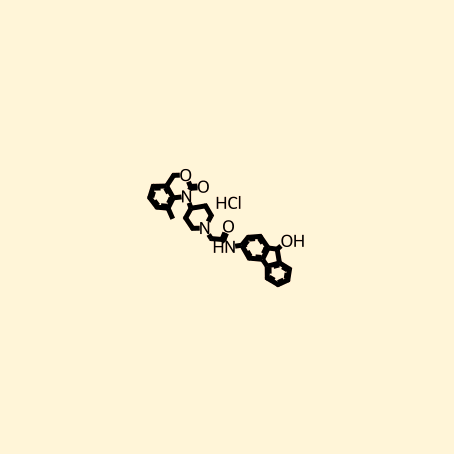 Cc1cccc2c1N(C1CCN(CC(=O)Nc3ccc4c(c3)-c3ccccc3C4O)CC1)C(=O)OC2.Cl